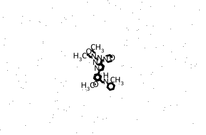 COc1ccc(-c2ccc3c(N4CCOCC4)nc(N4CC(C)OC(C)C4)nc3n2)cc1CNC1CCCCC1C